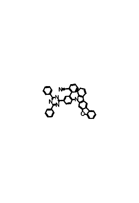 N#Cc1ccc#cc1-c1cc(-c2nc(-c3ccccc3)nc(-c3ccccc3)n2)ccc1-n1c2c(c3cc4c(cc31)oc1ccccc14)C=CCC2